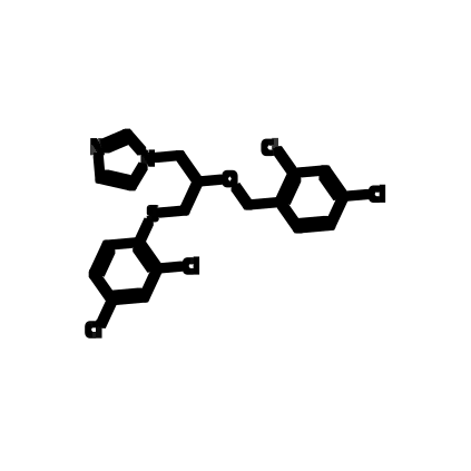 Clc1ccc(COC(CSc2ccc(Cl)cc2Cl)Cn2ccnc2)c(Cl)c1